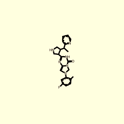 Cc1ccc(F)cc1N1C=C2N=C(C3CNCC3C(C)c3ccccn3)NC(=O)N2C1